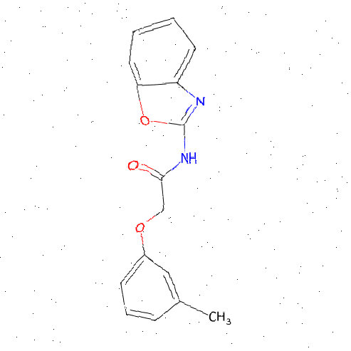 Cc1cccc(OCC(=O)Nc2nc3ccccc3o2)c1